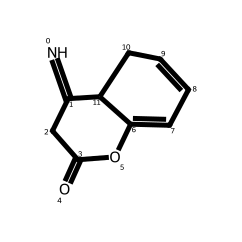 N=C1CC(=O)OC2=CC=CCC12